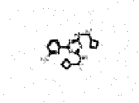 C[C@@H](Nc1nc(N[C@H](C)C2CCC2)nc(-c2cccc(C(F)(F)F)n2)n1)C1CCC1